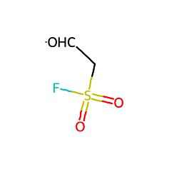 O=[C]CS(=O)(=O)F